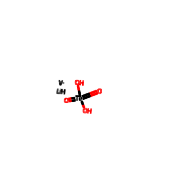 O=[Te](=O)(O)O.[LiH].[V]